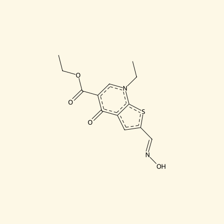 CCOC(=O)c1cn(CC)c2sc(C=NO)cc2c1=O